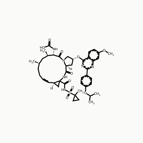 COc1ccc2c(O[C@@H]3C[C@H]4C(=O)NC5(C(=O)NS(=O)(=O)C6(C)CC6)C[C@H]5/C=C\CC[C@@H](C)C[C@@H](C)[C@H](NC(=O)O)C(=O)N4C3)nc(-c3ccc(OC(C)C)cc3)nc2c1